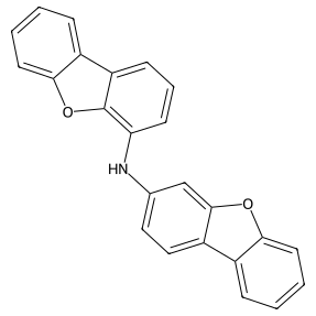 c1ccc2c(c1)oc1cc(Nc3cccc4c3oc3ccccc34)ccc12